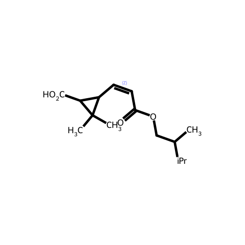 CC(C)C(C)COC(=O)/C=C\C1C(C(=O)O)C1(C)C